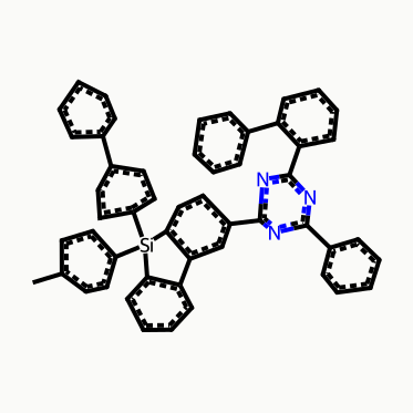 Cc1ccc([Si]2(c3ccc(-c4ccccc4)cc3)c3ccccc3-c3cc(-c4nc(-c5ccccc5)nc(-c5ccccc5-c5ccccc5)n4)ccc32)cc1